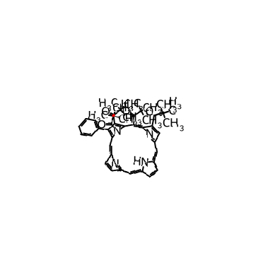 CC(C)(C)C(=O)C1=Cc2cc3ccc(cc4nc(cc5c(-c6ccccc6)c(C(=O)C(C)(C)C)c(c(C(=O)C(C)(C)C)c1n2)n5C(=O)C(C)(C)C)C=C4)[nH]3